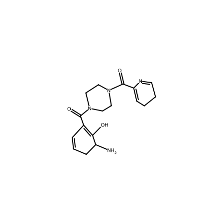 NC1CC=CC(C(=O)N2CCN(C(=O)C3=CCCC=N3)CC2)=C1O